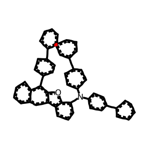 c1ccc(-c2ccc(-c3c4ccccc4cc4c3oc3c(N(c5ccc(-c6ccccc6)cc5)c5ccc(-c6ccccc6)cc5)cccc34)cc2)cc1